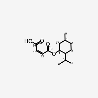 CC1CCC(C(C)C)C(OC(=O)/C=C\C(=O)O)C1